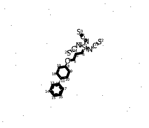 S=C=N[Si](CCCO[C@H]1CC[C@H](c2ccccc2)CC1)(N=C=S)N=C=S